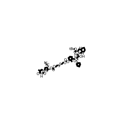 Cc1c(OC(=O)OCCSSCCOC(=O)OC[C@H]2O[C@@H](n3cc(C)c(=O)[nH]c3=O)C[C@@H]2N=[N+]=[N-])cccc1C(=O)N[C@@H](CSc1ccccc1)[C@H](O)CN1C[C@H]2CCCC[C@H]2C[C@H]1C(=O)OC(C)(C)C